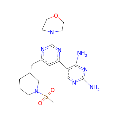 CS(=O)(=O)N1CCC[C@H](Cc2cc(-c3cnc(N)nc3N)nc(N3CCOCC3)n2)C1